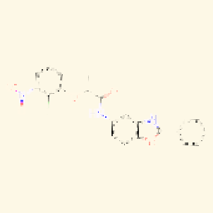 CC(Oc1cccc([N+](=O)[O-])c1Cl)C(=O)Nc1ccc2oc(-c3ccccc3)nc2c1